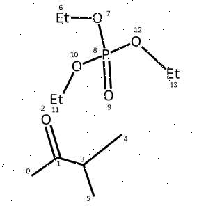 CC(=O)C(C)C.CCOP(=O)(OCC)OCC